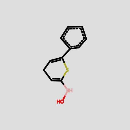 OBC1=CCC=C(c2ccccc2)S1